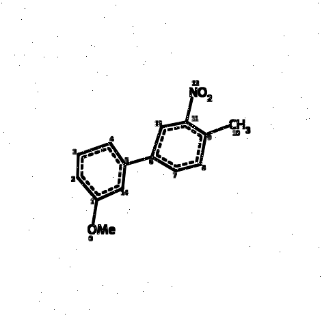 COc1cccc(-c2ccc(C)c([N+](=O)[O-])c2)c1